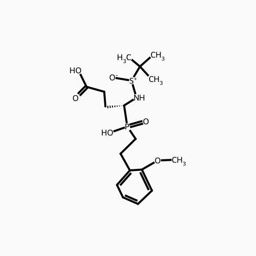 COc1ccccc1CCP(=O)(O)[C@H](CCC(=O)O)N[S+]([O-])C(C)(C)C